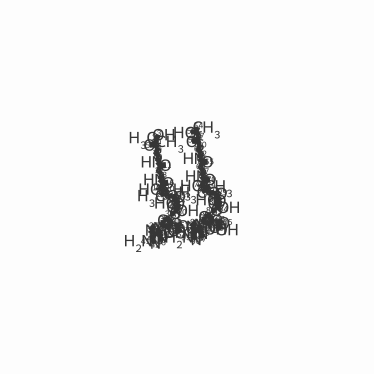 CC(C)(O)C(=O)SCCNC(=O)CCNC(=O)[C@H](O)C(C)(C)COP(=O)(O)OP(=O)(O)OC[C@H]1O[C@@H](n2cnc3c(N)ncnc32)[C@H](O)[C@@H]1OP(=O)(O)O.CC(O)CC(=O)SCCNC(=O)CCNC(=O)[C@H](O)C(C)(C)COP(=O)(O)OP(=O)(O)OC[C@H]1O[C@@H](n2cnc3c(N)ncnc32)[C@H](O)[C@@H]1OP(=O)(O)O